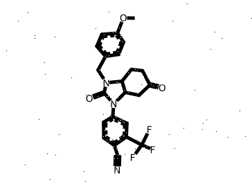 COc1ccc(CN2C(=O)N(c3ccc(C#N)c(C(F)(F)F)c3)C3CC(=O)CCC32)cc1